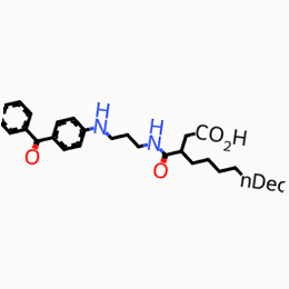 CCCCCCCCCCCCCCC(CC(=O)O)C(=O)NCCCNc1ccc(C(=O)c2ccccc2)cc1